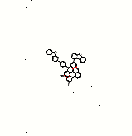 CC(C)(C)c1cc(-c2cccc3cccc(-c4ccccc4N(c4ccc(-c5ccc6c(c5)oc5ccccc56)cc4)c4cccc(-c5cccc6oc7ccccc7c56)c4)c23)cc(C(C)(C)C)c1